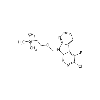 C[Si](C)(C)CCOCn1c2cnc(Cl)c(F)c2c2cccnc21